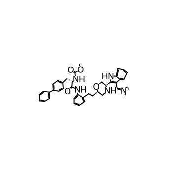 COC(=O)N[C@@H](Cc1ccc(-c2ccccc2)cc1)C(=O)Nc1ccccc1CC[C@@H]1CN[C@H](c2[nH]c3ccccc3c2C=[N+](C)C)CO1